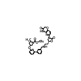 C[C@H]1C[C@H](Oc2cccc(-c3cccc(CNCC[C@H]4CN(c5ccc6c(n5)NC(=O)CO6)C(=O)O4)c3)n2)CN1C(=O)OC(C)(C)C